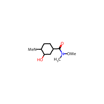 CNC1CCC(C(=O)N(C)OC)CC1O